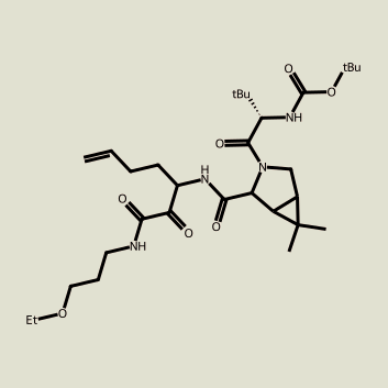 C=CCCC(NC(=O)C1C2C(CN1C(=O)[C@@H](NC(=O)OC(C)(C)C)C(C)(C)C)C2(C)C)C(=O)C(=O)NCCCOCC